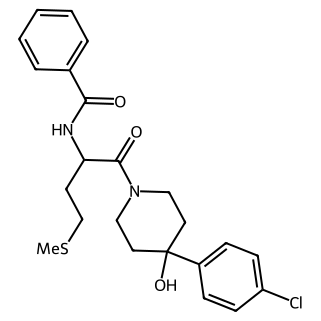 CSCCC(NC(=O)c1ccccc1)C(=O)N1CCC(O)(c2ccc(Cl)cc2)CC1